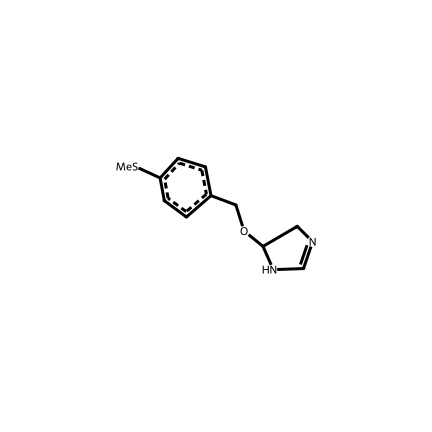 CSc1ccc(COC2CN=CN2)cc1